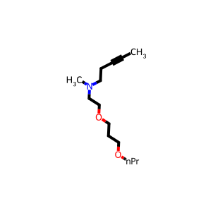 CC#CCCN(C)CCOCCCOCCC